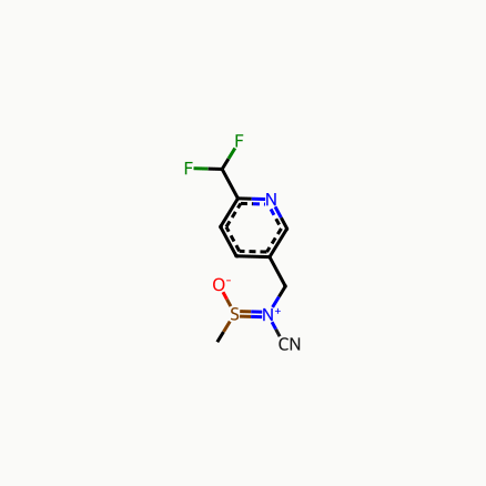 CS([O-])=[N+](C#N)Cc1ccc(C(F)F)nc1